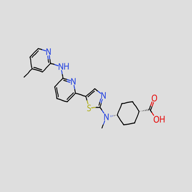 Cc1ccnc(Nc2cccc(-c3cnc(N(C)[C@H]4CC[C@@H](C(=O)O)CC4)s3)n2)c1